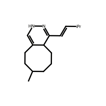 CC(C)C=CC1=NNC=C2CCC(C)CCCC21